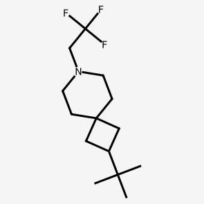 CC(C)(C)C1CC2(CCN(CC(F)(F)F)CC2)C1